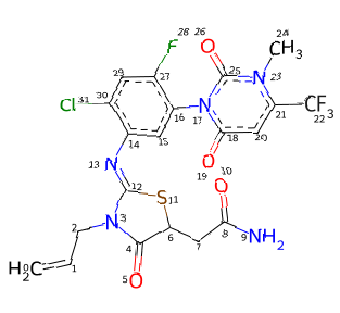 C=CCN1C(=O)C(CC(N)=O)S/C1=N\c1cc(-n2c(=O)cc(C(F)(F)F)n(C)c2=O)c(F)cc1Cl